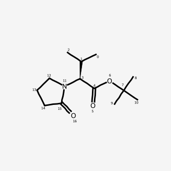 CC(C)[C@@H](C(=O)OC(C)(C)C)N1CCCC1=O